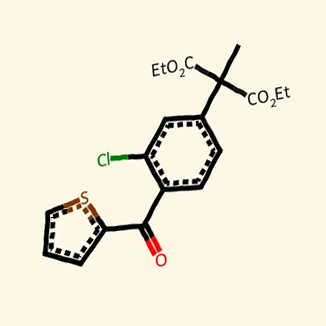 CCOC(=O)C(C)(C(=O)OCC)c1ccc(C(=O)c2cccs2)c(Cl)c1